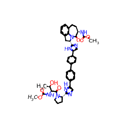 COC(=O)N[C@H]1CCc2cccc3c2N(C1=O)[C@H](c1ncc(-c2ccc(-c4ccc(-c5cnc([C@@H]6CCCN6C(=O)[C@@H](NC(=O)OC)[C@@H](C)O)[nH]5)cc4)cc2)[nH]1)C3